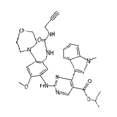 C#CCNC(=O)Nc1cc(Nc2ncc(C(=O)OC(C)C)c(-c3cn(C)c4ccccc34)n2)c(OC)cc1N1CCOCC1